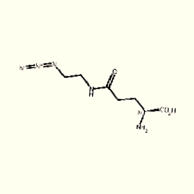 [N-]=[N+]=NCCNC(=O)CC[C@H](N)C(=O)O